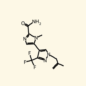 C=C(C)Cn1cc(-c2cnc(C(N)=O)n2C)c(C(F)(F)F)n1